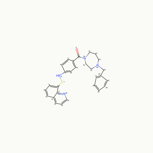 O=C(c1ccc(NSc2cccc3cccnc23)cc1)N1CCCN(Cc2ccccc2)CC1